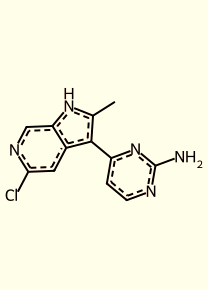 Cc1[nH]c2cnc(Cl)cc2c1-c1ccnc(N)n1